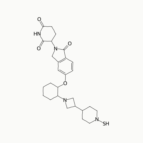 O=C1CCC(N2Cc3cc(OC4CCCCC4N4CC(C5CCN(S)CC5)C4)ccc3C2=O)C(=O)N1